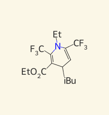 CCOC(=O)C1=C(C(F)(F)F)N(CC)C(C(F)(F)F)=CC1C(C)CC